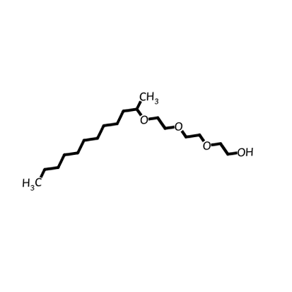 CCCCCCCCCCC(C)OCCOCCOCCO